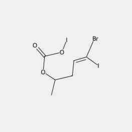 CC(CC=C(Br)I)OC(=O)OI